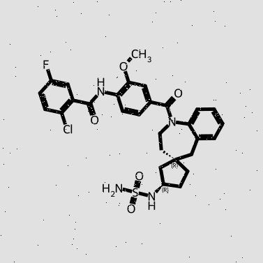 COc1cc(C(=O)N2CC[C@@]3(CC[C@@H](NS(N)(=O)=O)C3)Cc3ccccc32)ccc1NC(=O)c1cc(F)ccc1Cl